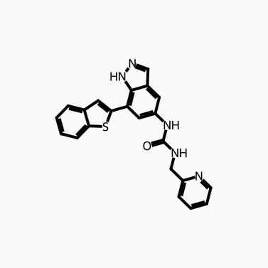 O=C(NCc1ccccn1)Nc1cc(-c2cc3ccccc3s2)c2[nH]ncc2c1